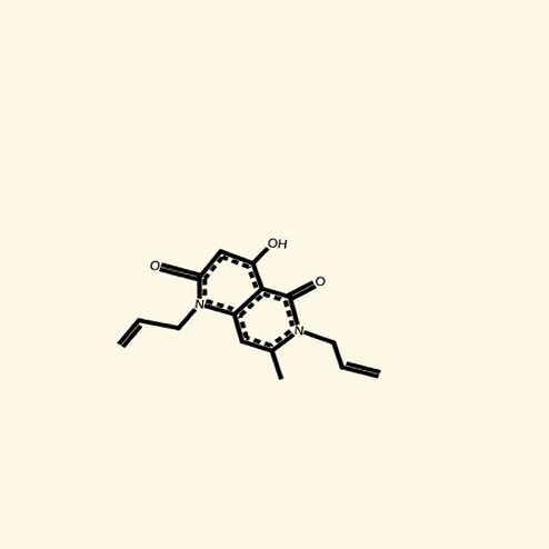 C=CCn1c(C)cc2c(c(O)cc(=O)n2CC=C)c1=O